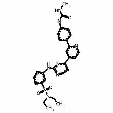 CCN(CC)S(=O)(=O)c1cccc(Nc2nccc(-c3ccnc(-c4ccc(NC(=O)NC)cc4)c3)n2)c1